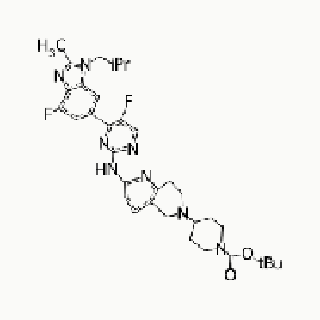 Cc1nc2c(F)cc(-c3nc(Nc4ccc5c(n4)CCN(C4CCN(C(=O)OC(C)(C)C)CC4)C5)ncc3F)cc2n1CC(C)C